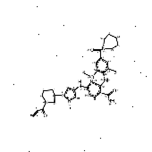 C=CC(=O)N1CCCC(n2cc(Nc3ncc(C(N)=O)c(Nc4c(C)cc(C(=O)N5CCCCC5)cc4OC)n3)cn2)C1